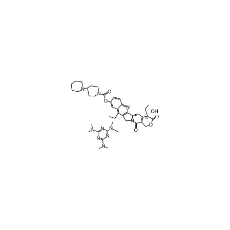 CCc1c2c(nc3ccc(OC(=O)N4CCC(N5CCCCC5)CC4)cc13)-c1cc3c(c(=O)n1C2)COC(=O)[C@]3(O)CC.CN(C)c1nc(N(C)C)nc(N(C)C)n1